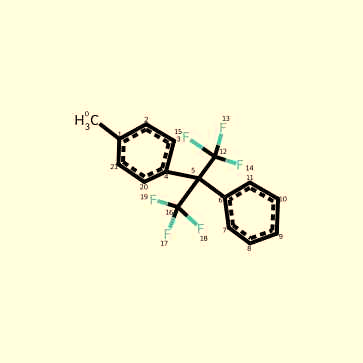 Cc1ccc(C(c2ccccc2)(C(F)(F)F)C(F)(F)F)cc1